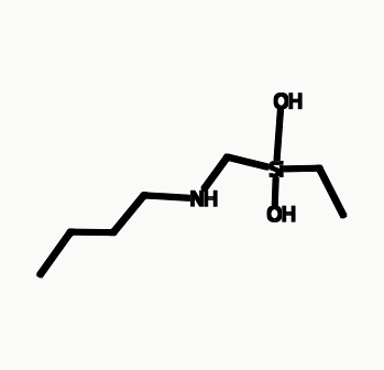 CCCCNC[Si](O)(O)CC